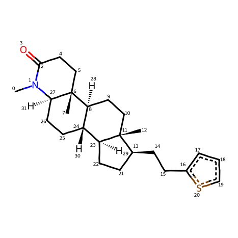 CN1C(=O)CC[C@]2(C)[C@H]3CC[C@]4(C)[C@@H](CCc5cccs5)CC[C@H]4[C@@H]3CC[C@@H]12